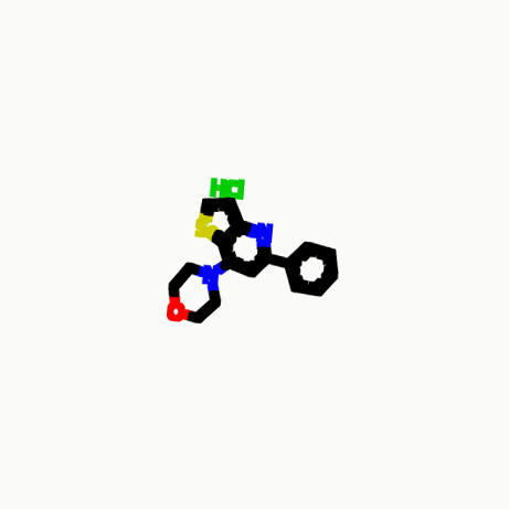 Cl.c1ccc(-c2cc(N3CCOCC3)c3sccc3n2)cc1